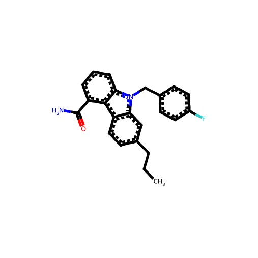 CCCc1c[c]c2c3c(C(N)=O)cccc3n(Cc3ccc(F)cc3)c2c1